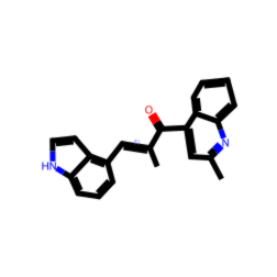 C/C(=C\c1cccc2[nH]ccc12)C(=O)c1cc(C)nc2ccccc12